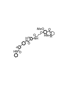 COc1cc2c(cc1OCCCC(=O)Nc1cc(C(=O)Nc3ccc(-c4cc(C(=O)Nc5ccccc5)n(C)c4)cc3)n(C)c1)NC[C@@H]1CCCCN1C2=O